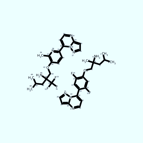 CC(C)CC(C)(N)COc1cc(F)c(-c2ccnc3ccnn23)cc1F.Cc1nc(-c2ccnc3ccnn23)ccc1OCC(N)(CC(C)C)C(F)(F)F